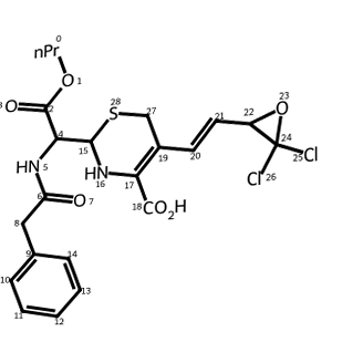 CCCOC(=O)C(NC(=O)Cc1ccccc1)C1NC(C(=O)O)=C(/C=C/C2OC2(Cl)Cl)CS1